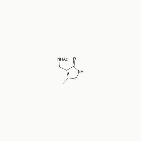 CC(=O)NCc1c(C)o[nH]c1=O